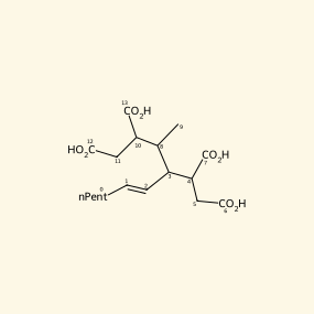 CCCCCC=CC(C(CC(=O)O)C(=O)O)C(C)C(CC(=O)O)C(=O)O